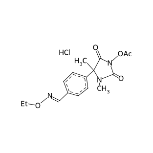 CCON=Cc1ccc(C2(C)C(=O)N(OC(C)=O)C(=O)N2C)cc1.Cl